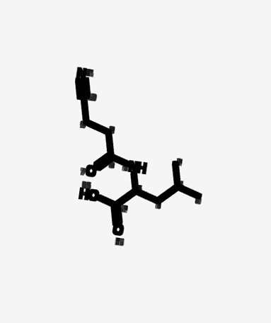 CC(C)CC(NC(=O)CCC#N)C(=O)O